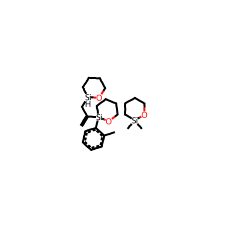 C=C(C[SiH]1CCCCO1)[Si]1(c2ccccc2C)CCCCO1.C[Si]1(C)CCCCO1